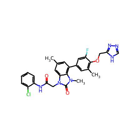 Cc1cc(-c2cc(C)c(OCc3nnc[nH]3)c(F)c2)c2c(c1)n(CC(=O)Nc1ccccc1Cl)c(=O)n2C